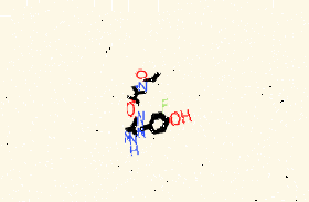 C=CC(=O)N1CC(C(C)(C)Oc2nc(-c3ccc(O)c(F)c3)nc3[nH]ncc23)C1